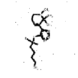 BC1(B)C(c2nsnc2OC(F)(F)CCCCC)=CCCN1C